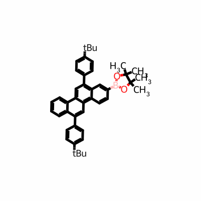 CC(C)(C)c1ccc(-c2cc3c4ccc(B5OC(C)(C)C(C)(C)O5)cc4c(-c4ccc(C(C)(C)C)cc4)cc3c3ccccc23)cc1